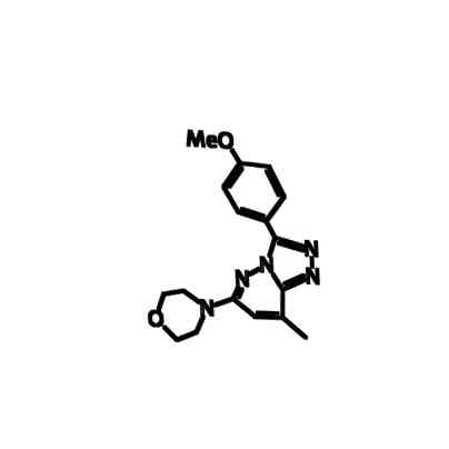 COc1ccc(-c2nnc3c(C)cc(N4CCOCC4)nn23)cc1